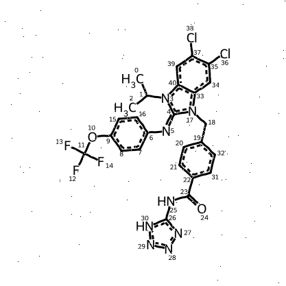 CC(C)n1c(=Nc2ccc(OC(F)(F)F)cc2)n(Cc2ccc(C(=O)Nc3nnn[nH]3)cc2)c2cc(Cl)c(Cl)cc21